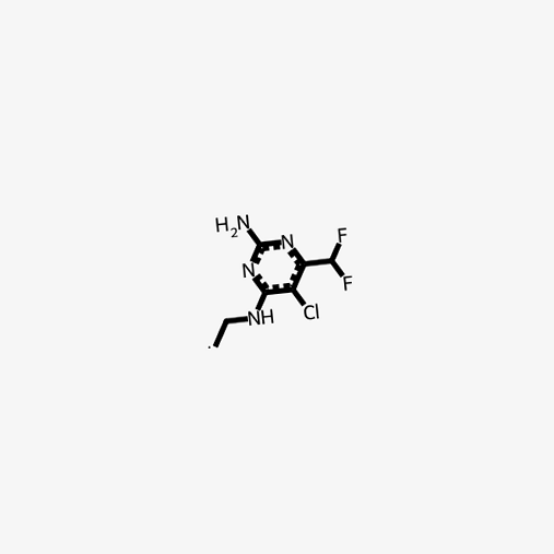 [CH2]CNc1nc(N)nc(C(F)F)c1Cl